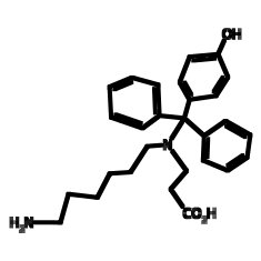 NCCCCCCN(CCC(=O)O)C(c1ccccc1)(c1ccccc1)c1ccc(O)cc1